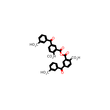 O=C(O)c1cccc(C(=O)c2ccc(C(=O)O)c(C(=O)OC(=O)c3cc(C(=O)c4cccc(C(=O)O)c4)ccc3C(=O)O)c2)c1